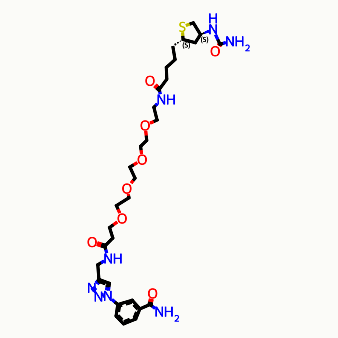 NC(=O)N[C@@H]1CS[C@@H](CCCCC(=O)NCCOCCOCCOCCOCCC(=O)NCc2cn(-c3cccc(C(N)=O)c3)nn2)C1